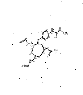 CNC(=S)Nc1ccc(CC2CN(CC(=O)O)CCN(COC=O)CCN2COC=O)cc1